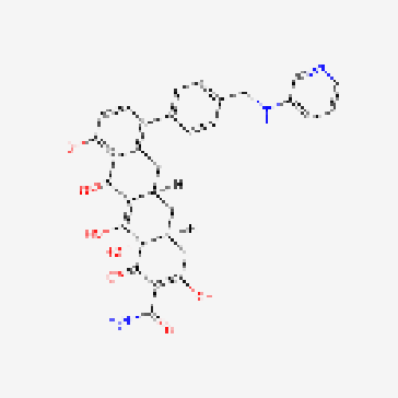 NC(=O)C1=C(O)C[C@@H]2C[C@@H]3Cc4c(-c5ccc(CNc6cccnc6)cc5)ccc(O)c4C(=O)C3=C(O)[C@]2(O)C1=O